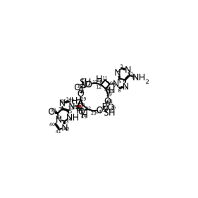 Nc1ncnc2c1ncn2[C@@H]1C[C@@H]2COP(=O)(S)O[C@@H]3[C@H](F)[C@@H](COP(=O)(S)OC[C@H]21)O[C@H]3n1cnc2c(=O)n3ccnc3[nH]c21